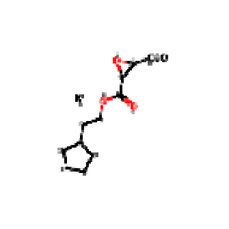 O=C([O-])C1OC1C(=O)OCCC1CCCC1.[K+]